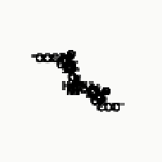 O=C([O-])c1cc(=O)c2ccc(OCC(O)COc3ccc4c(=O)cc(C(=O)[O-])oc4c3)cc2o1.[Na+].[Na+]